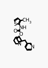 Cc1ccsc1NC(=O)OC1C2CCN(CC2)C1Cc1cccnc1